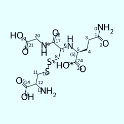 NC(=O)CC[C@H](NC(CSSCC(N)C(=O)O)C(=O)NCC(=O)O)C(=O)O